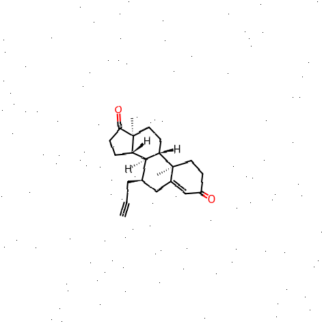 C#CC[C@@H]1CC2=CC(=O)CC[C@]2(C)[C@H]2CC[C@]3(C)C(=O)CC[C@H]3[C@H]12